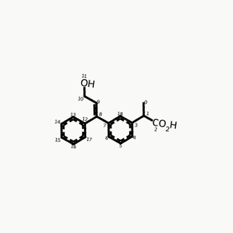 CC(C(=O)O)c1cccc(C(=CCO)c2ccccc2)c1